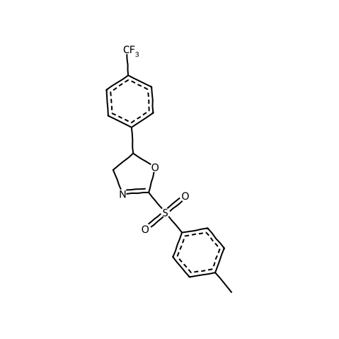 Cc1ccc(S(=O)(=O)C2=NCC(c3ccc(C(F)(F)F)cc3)O2)cc1